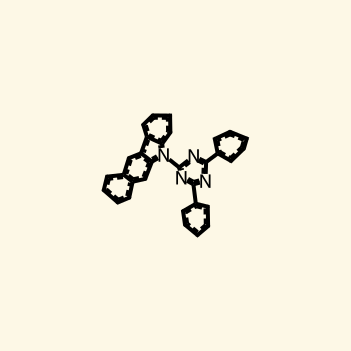 c1ccc(-c2nc(-c3ccccc3)nc(-n3c4ccccc4c4cc5ccccc5cc43)n2)cc1